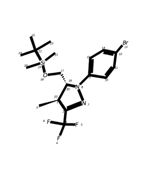 C[C@@H]1C(C(F)(F)F)=NN(c2ccc(Br)cc2)[C@H]1CO[Si](C)(C)C(C)(C)C